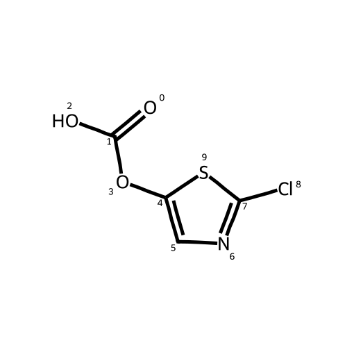 O=C(O)Oc1cnc(Cl)s1